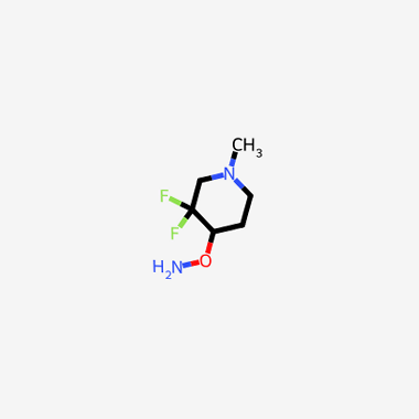 CN1CCC(ON)C(F)(F)C1